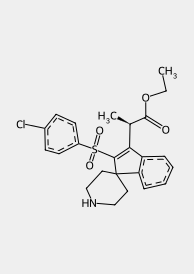 CCOC(=O)[C@H](C)C1=C(S(=O)(=O)c2ccc(Cl)cc2)C2(CCNCC2)c2ccccc21